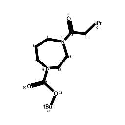 CC(C)CC(=O)N1CCCN(C(=O)OC(C)(C)C)CC1